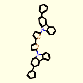 c1ccc(-c2ccc3c(c2)c2ccccc2n3-c2ccc(-c3ccc(-n4c5ccccc5c5cc(-c6ccccc6)ccc54)s3)s2)cc1